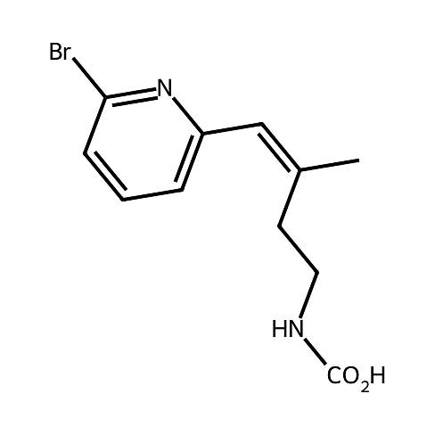 CC(=Cc1cccc(Br)n1)CCNC(=O)O